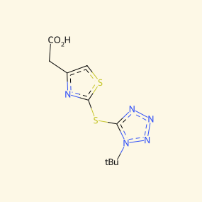 CC(C)(C)n1nnnc1Sc1nc(CC(=O)O)cs1